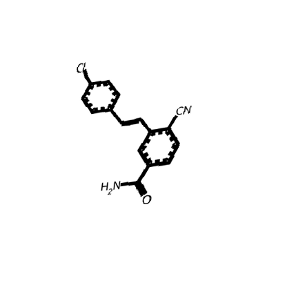 N#Cc1ccc(C(N)=O)cc1C=Cc1ccc(Cl)cc1